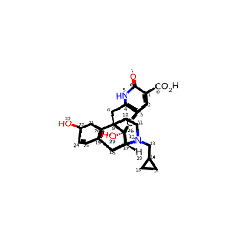 O=C(O)c1cc2c([nH]c1=O)C[C@]13CCN(CC4CC4)[C@H](CC4=C1CC(O)C=C4)[C@]3(O)C2